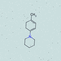 CC1=CC=C(N2CCCCC2)CC1